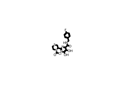 O=C(NCc1ccc(F)cc1)c1nc(C2CSCCN2C(=O)Cl)nc(O)c1O